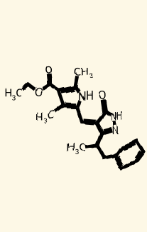 CCOC(=O)c1c(C)[nH]c(C=C2C(=O)NN=C2C(C)Cc2ccccc2)c1C